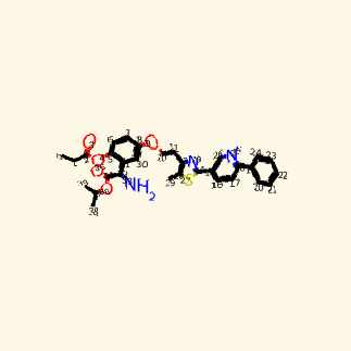 CCC(=O)Oc1ccc(OCCc2nc(-c3ccc(-c4ccccc4)nc3)sc2C)cc1C(N)C(=O)OC(C)C